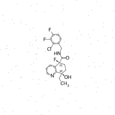 CC[C@@]1(O)CC[C@@](F)(C(=O)NCc2ccc(F)c(F)c2Cl)c2cccnc21